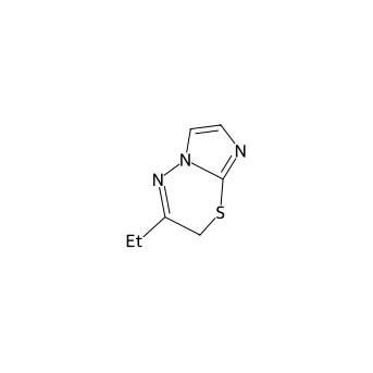 CCC1=Nn2ccnc2SC1